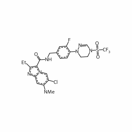 CCc1nc2cc(NC)c(Cl)cn2c1C(=O)NCc1ccc(N2CCN(S(=O)(=O)C(F)(F)F)C=N2)c(F)c1